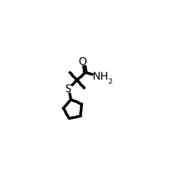 CC(C)(SC1CCCC1)C(N)=O